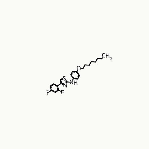 CCCCCCCCOc1ccc(Nc2nc(-c3ccc(F)cc3F)cs2)cc1